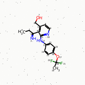 CCC(=N)c1c(CO)ccnc1Nc1ccc(OC(C)(F)F)cc1